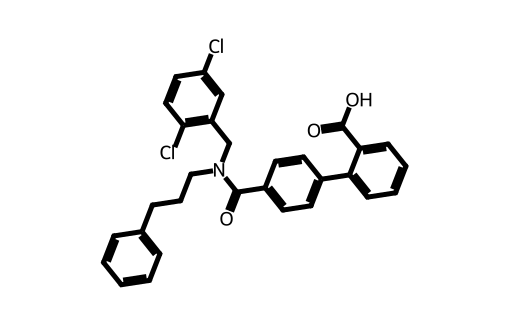 O=C(O)c1ccccc1-c1ccc(C(=O)N(CCCc2ccccc2)Cc2cc(Cl)ccc2Cl)cc1